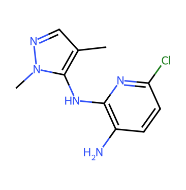 Cc1cnn(C)c1Nc1nc(Cl)ccc1N